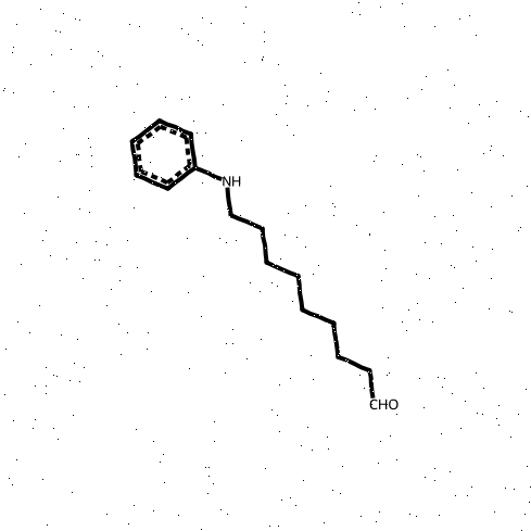 O=CCCCCCCCCNc1ccccc1